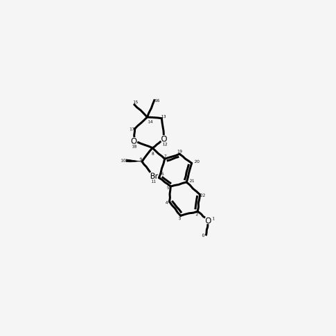 COc1ccc2cc(C3([C@H](C)Br)OCC(C)(C)CO3)ccc2c1